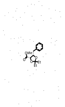 CCC1(CC)O[C@@H](Cc2ccccc2)[C@@H](C(=O)OC)O1